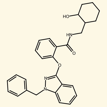 O=C(NCC1CCCCC1O)c1ccccc1Oc1nn(Cc2ccccc2)c2ccccc12